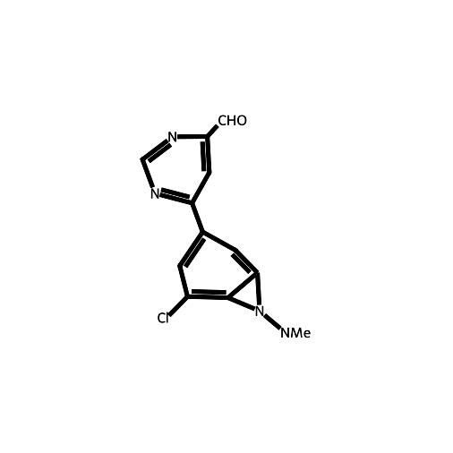 CNN1c2cc(-c3cc(C=O)ncn3)cc(Cl)c21